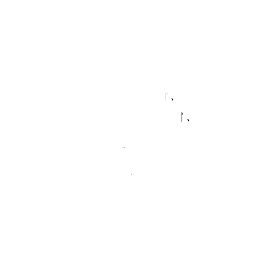 COC(=O)C1=C[N]N=C1